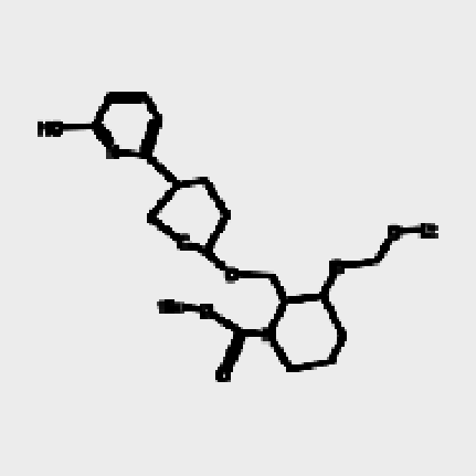 CCOCOC1CCCN(C(=O)OC(C)(C)C)C1COC1CCC(c2cccc(O)n2)CC1